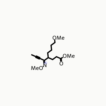 CC#C/C(=N\OC)C(CCCCOC)CCC(=O)OC